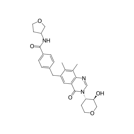 Cc1c(Cc2ccc(C(=O)NC3CCOC3)cc2)cc2c(=O)n([C@H]3CCOC[C@@H]3O)cnc2c1C